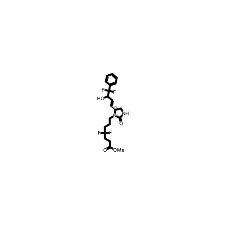 COC(=O)CCC(F)(F)CCCN1C(=O)NC[C@@H]1C=CC(O)C(F)(F)c1ccccc1